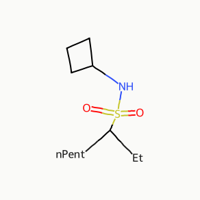 CCCCCC(CC)S(=O)(=O)NC1CCC1